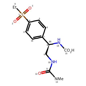 CCS(=O)(=O)c1ccc([C@H](CNC(=O)NC)NC(=O)O)cc1